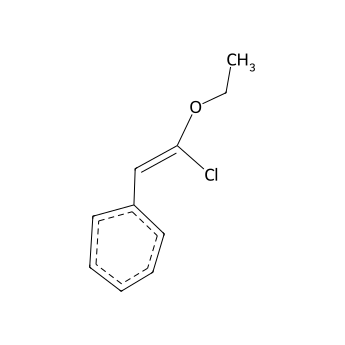 CCOC(Cl)=Cc1ccccc1